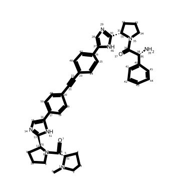 CN1CCC[C@H]1C(=O)N1CCC[C@H]1c1ncc(-c2ccc(C#Cc3ccc(-c4cnc([C@@H]5CCCN5C(=O)[C@H](N)c5ccccc5)[nH]4)cc3)cc2)[nH]1